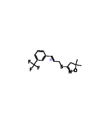 CC1(C)CC(SC/C=C/c2cccc(C(F)(F)F)c2)=NO1